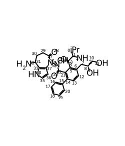 CC(C)C(N)C(=O)c1c(C[C@H](O)CO)ccc(-c2ccccc2)c1C(=O)N(C)N1C(=O)CCC(N)c2[nH]ccc21